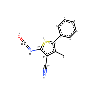 Cc1c(-c2ccccc2)sc(N=C=O)c1C#N